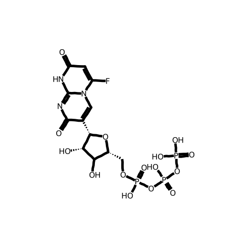 O=c1cc(F)n2cc([C@@H]3O[C@H](COP(=O)(O)OP(=O)(O)OP(=O)(O)O)C(O)[C@@H]3O)c(=O)nc2[nH]1